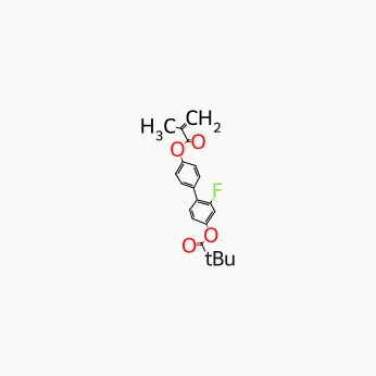 C=C(C)C(=O)Oc1ccc(-c2ccc(OC(=O)C(C)(C)C)cc2F)cc1